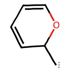 [C]C1C=CC=CO1